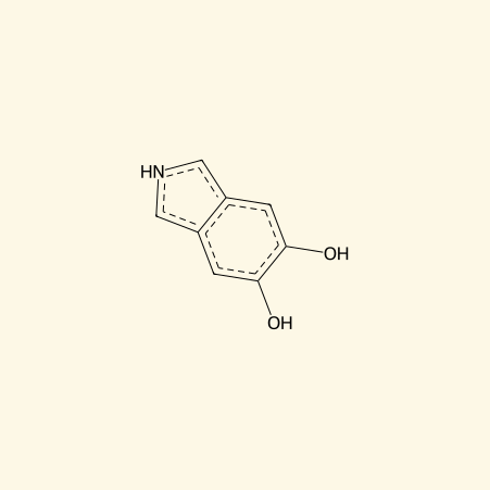 Oc1cc2c[nH]cc2cc1O